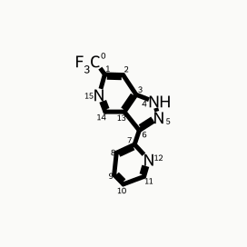 FC(F)(F)c1cc2[nH]nc(-c3ccccn3)c2cn1